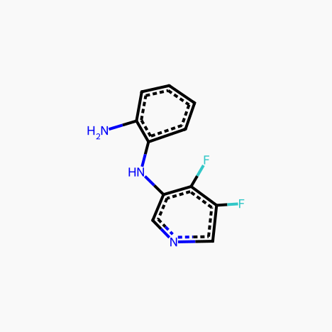 Nc1ccccc1Nc1cncc(F)c1F